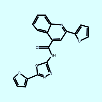 O=C(Nc1nnc(-c2ccco2)o1)c1cc(-c2ccco2)nc2ccccc12